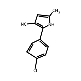 Cc1cc(C#N)c(-c2ccc(Cl)cc2)[nH]1